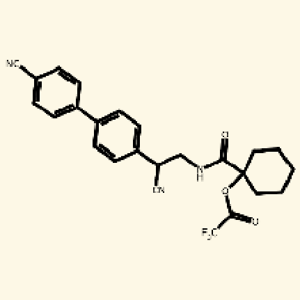 N#Cc1ccc(-c2ccc(C(C#N)CNC(=O)C3(OC(=O)C(F)(F)F)CCCCC3)cc2)cc1